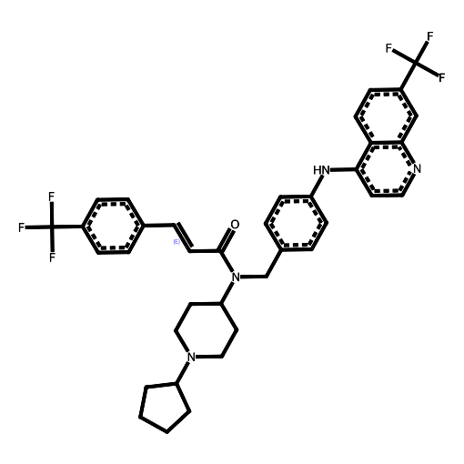 O=C(/C=C/c1ccc(C(F)(F)F)cc1)N(Cc1ccc(Nc2ccnc3cc(C(F)(F)F)ccc23)cc1)C1CCN(C2CCCC2)CC1